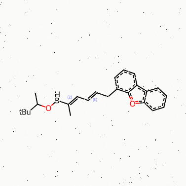 C/C(BOC(C)C(C)(C)C)=C\C=C\Cc1cccc2c1oc1ccccc12